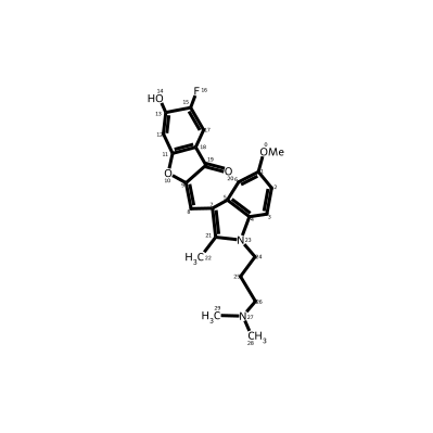 COc1ccc2c(c1)c(C=C1Oc3cc(O)c(F)cc3C1=O)c(C)n2CCCN(C)C